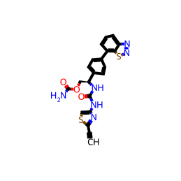 C#Cc1nc(NC(=O)N[C@@H](COC(N)=O)c2ccc(-c3cccc4nnsc34)cc2)cs1